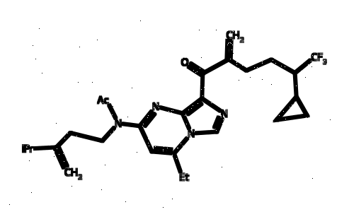 C=C(CCC(C1CC1)C(F)(F)F)C(=O)c1ncn2c(CC)cc(N(CCC(=C)C(C)C)C(C)=O)nc12